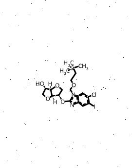 C[Si](C)(C)CCOCn1c(O[C@@H]2CO[C@H]3[C@@H]2OC[C@H]3O)nc2cc(I)c(Cl)cc21